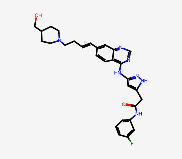 O=C(Cc1cc(Nc2ncnc3cc(/C=C/CCN4CCC(CO)CC4)ccc23)n[nH]1)Nc1cccc(F)c1